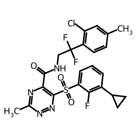 Cc1ccc(C(F)(F)CNC(=O)c2nc(C)nnc2S(=O)(=O)c2cccc(C3CC3)c2F)c(Cl)c1